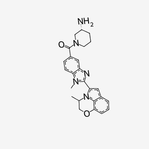 CC1COc2cccc3cc(-c4nc5cc(C(=O)N6CCC[C@@H](N)C6)ccc5n4C)n1c23